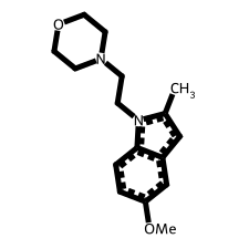 COc1ccc2c(c1)cc(C)n2CCN1CCOCC1